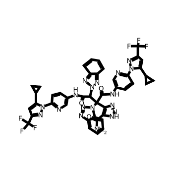 NC(=O)c1[nH]nnc1C(C(=O)Nc1ccc(-n2nc(C(F)(F)F)cc2C2CC2)nc1)(C(C(=O)Nc1ccc(-n2nc(C(F)(F)F)cc2C2CC2)nc1)n1nc2ccccc2n1)n1nnc2ccccc21